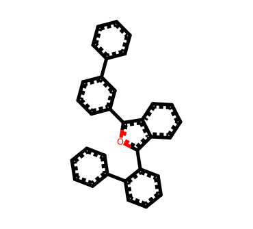 c1ccc(-c2cccc(-c3oc(-c4ccccc4-c4ccccc4)c4ccccc34)c2)cc1